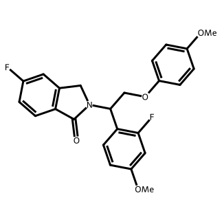 COc1ccc(OCC(c2ccc(OC)cc2F)N2Cc3cc(F)ccc3C2=O)cc1